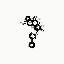 C[C@H]1C[C@H]2NC(=O)C(Oc3nccc(-c4ccccc4)n3)=C[C@]2(C)[C@H]2CC[C@]3(C)CCC[C@H]3[C@H]12